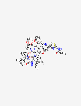 C=C[C@H]1C[C@]1(NC(=O)C1CC(Oc2cc(-c3csc(NC(C)=O)n3)nc3cc(OC)ccc23)CN1C(=O)[C@@H](NC(=O)N[C@H](C)C(=C)C)C(C)(C)C)C(=O)OC